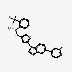 C[C@@H](Oc1csc(-n2cnc3cc(-c4ccnc(Cl)c4)ccc32)c1)c1ccccc1C(F)(F)F